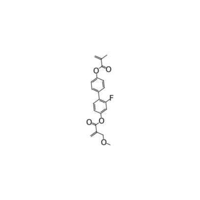 C=C(C)C(=O)Oc1ccc(-c2ccc(OC(=O)C(=C)COC)cc2F)cc1